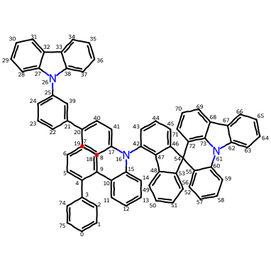 c1ccc(-c2ccccc2-c2ccccc2N(c2ccc(-c3cccc(-n4c5ccccc5c5ccccc54)c3)cc2)c2cccc3c2-c2ccccc2C32c3ccccc3-n3c4ccccc4c4cccc2c43)cc1